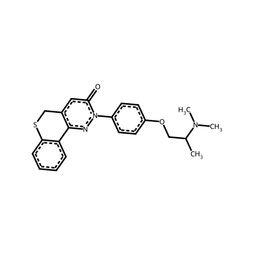 CC(COc1ccc(-n2nc3c(cc2=O)CSc2ccccc2-3)cc1)N(C)C